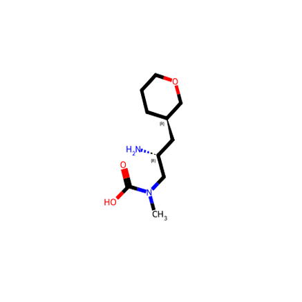 CN(C[C@H](N)C[C@H]1CCCOC1)C(=O)O